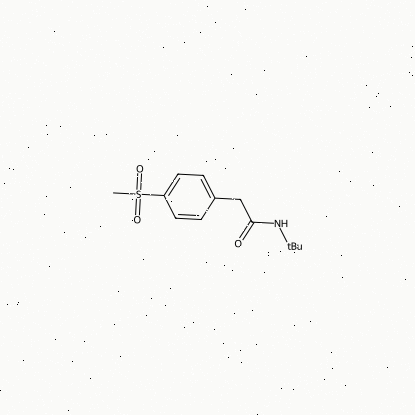 CC(C)(C)NC(=O)Cc1ccc(S(C)(=O)=O)cc1